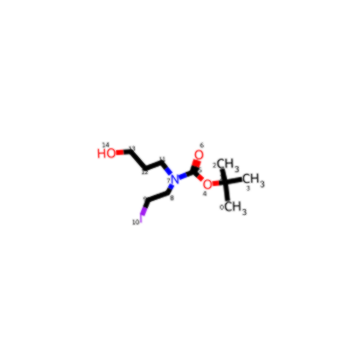 CC(C)(C)OC(=O)N(CCI)CCCO